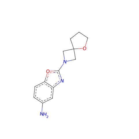 Nc1ccc2oc(N3CC4(CCCO4)C3)nc2c1